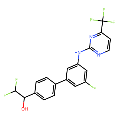 OC(c1ccc(-c2cc(F)cc(Nc3nccc(C(F)(F)F)n3)c2)cc1)C(F)F